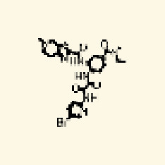 CCN(C)C(=O)[C@H]1CC[C@H](NC(=O)C(=O)Nc2ccc(Br)cn2)[C@H](NC(=O)c2nc3c(s2)CN(C)CC3)C1